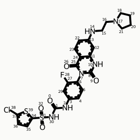 O=C(Nc1ccc(-n2c(=O)[nH]c3cc(NCCN4CCCC4)ccc3c2=O)c(F)c1)NS(=O)(=O)c1ccc(Cl)s1